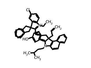 C=CCC1(Cc2ccc(O)cc2)/C(=C\C=C\C2=[N+](CC)c3ccc(Cl)cc3C2(Cc2ccccc2)Cc2ccccc2)N(CCC(C)C)c2ccc3ccccc3c21